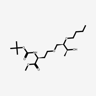 CCCCO[C@H](COCC[C@H](NC(=O)OC(C)(C)C)C(=O)OC)[C@H](C)O